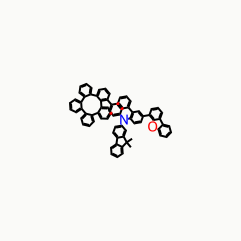 CC1(C)c2ccccc2-c2ccc(N(c3ccc(-c4cccc5c6ccccc6c6ccccc6c6ccccc6c6ccccc6c45)cc3)c3ccc(-c4cccc5c4oc4ccccc45)cc3-c3ccccc3)cc21